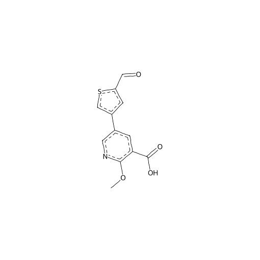 COc1ncc(-c2csc(C=O)c2)cc1C(=O)O